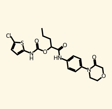 CCCC(OC(=O)Nc1ccc(Cl)s1)C(=O)Nc1ccc(N2CCOCC2=O)cc1